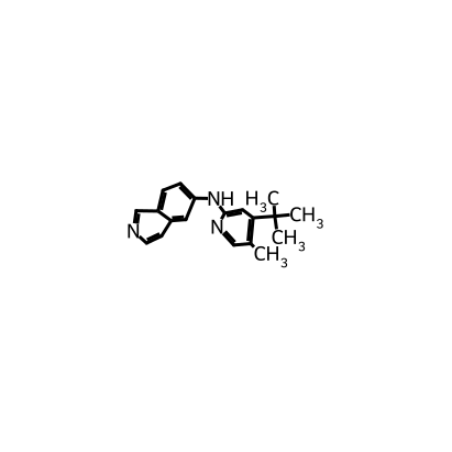 Cc1cnc(Nc2ccc3cnccc3c2)cc1C(C)(C)C